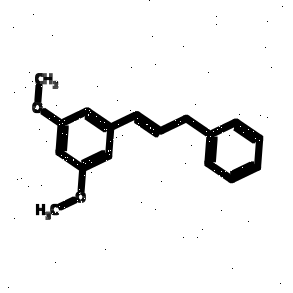 COc1cc(C=CCc2ccccc2)cc(OC)c1